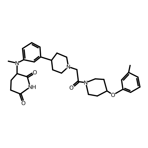 Cc1cccc(OC2CCN(C(=O)CN3CCC(c4cccc(N(C)C5CCC(=O)NC5=O)c4)CC3)CC2)c1